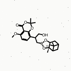 COc1ccc(C(CO)CB2OC3CC4CC(C4(C)C)[C@]3(C)O2)c2c1C(=O)OC(C)(C)O2